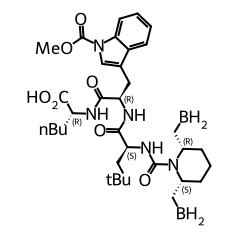 BC[C@@H]1CCC[C@H](CB)N1C(=O)N[C@@H](CC(C)(C)C)C(=O)N[C@H](Cc1cn(C(=O)OC)c2ccccc12)C(=O)N[C@H](CCCC)C(=O)O